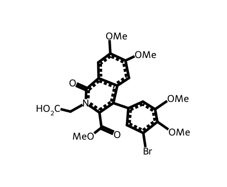 COC(=O)c1c(-c2cc(Br)c(OC)c(OC)c2)c2cc(OC)c(OC)cc2c(=O)n1CC(=O)O